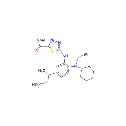 CNC(=O)c1nnc(Nc2cc(C(C)CC(=O)O)ccc2N(CC(C)C)C2CCCCC2)s1